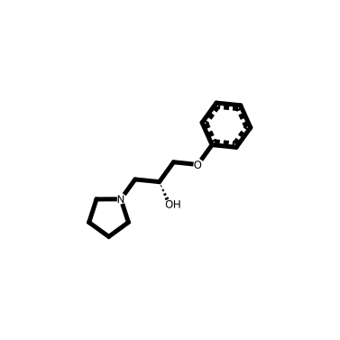 O[C@@H](COc1ccccc1)CN1CCCC1